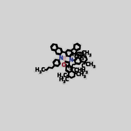 CCCCc1ccc(N2B3c4oc5cc6c(cc5c4N(c4cc5c(cc4C)C(C)(C)CCC5(C)C)c4c3c(cc3c4C(C)(C)c4ccccc4-3)-c3cc4ccccc4cc32)C(C)(C)CCC6(C)C)cc1